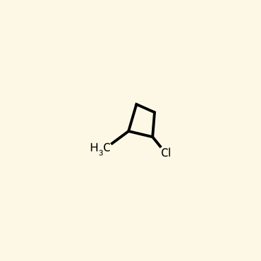 CC1CCC1Cl